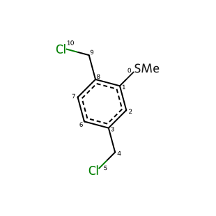 CSc1cc(CCl)ccc1CCl